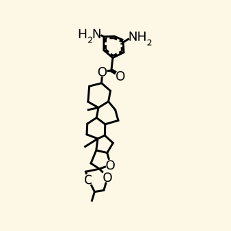 CC1CCC2(CC3C(CC4C5CCC6CC(OC(=O)c7cc(N)cc(N)c7)CCC6(C)C5CCC34C)O2)OC1